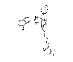 O=C(CCCCCCn1cnc2c(N3CCOCC3)nc(-c3ccc4cn[nH]c4c3)nc21)NO